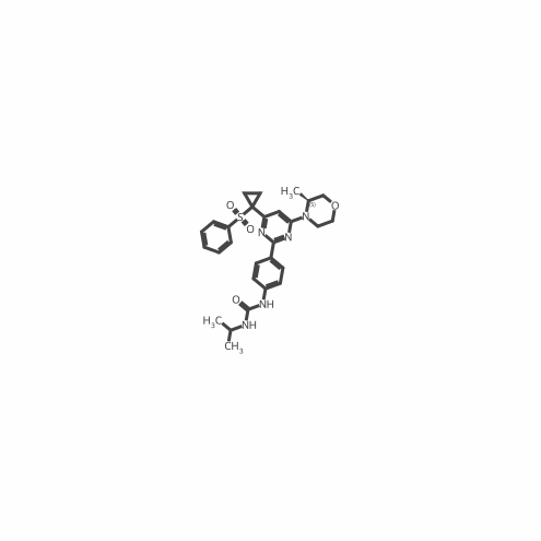 CC(C)NC(=O)Nc1ccc(-c2nc(N3CCOC[C@@H]3C)cc(C3(S(=O)(=O)c4ccccc4)CC3)n2)cc1